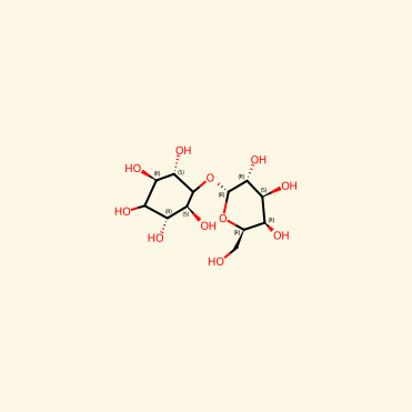 OC[C@H]1O[C@H](OC2[C@@H](O)[C@H](O)C(O)[C@@H](O)[C@@H]2O)[C@H](O)[C@@H](O)[C@H]1O